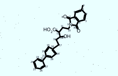 Cc1ccc2c(c1)C(=O)N(CCC(C(=O)O)C(O)CCc1ccc(-c3ccccc3)cc1)C2=O